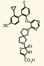 CCC1(N2CCC3(CCN(c4ncncc4Oc4ccc(F)cc4-c4ccc(C#N)cc4C4CC4)C3)C2)NC(C(=O)O)=CS1